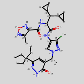 CC[Si](CC)(CC)c1cc([C@@H](C)n2cc(NC(=O)[C@@H](NC(=O)c3nonc3C)C(C3CC3)C3CC3)c(F)n2)c(=O)[nH]n1